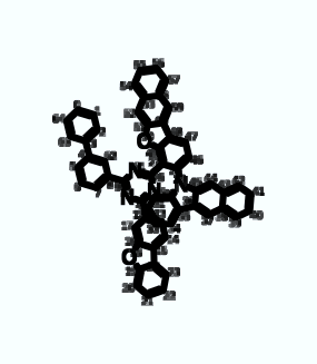 c1ccc(-c2cccc(-c3nc(-c4ccc5c(c4)oc4ccccc45)nc(-c4c(-n5c6ccccc6c6cc7ccccc7cc65)ccc5c4oc4cc6ccccc6cc45)n3)c2)cc1